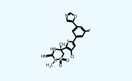 CN1C(=N)N[C@](C)(c2sc(-c3cc(F)cc(-c4cnco4)c3)cc2Cl)CS1(=O)=O